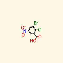 O=C(O)c1cc([N+](=O)[O-])cc(Br)c1Cl